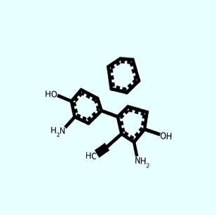 C#Cc1c(-c2ccc(O)c(N)c2)ccc(O)c1N.c1ccccc1